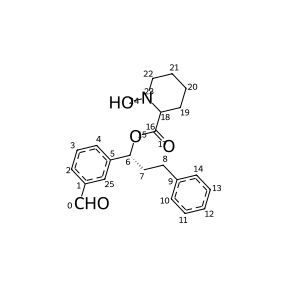 O=Cc1cccc([C@@H](CCc2ccccc2)OC(=O)C2CCCCN2O)c1